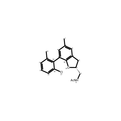 CC(=O)NC[C@H]1Cc2cc(C)cc(-c3c(C)cccc3Cl)c2O1